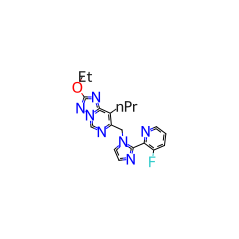 CCCc1c(Cn2ccnc2-c2ncccc2F)ncn2nc(OCC)nc12